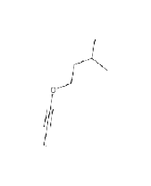 [CH2]C#COCCC(C)C